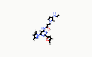 CCN[C@@H]1CCN(CCC(=O)Nc2cc(-n3nc(C)cc3C)nc(-c3ccc(C)o3)n2)C1